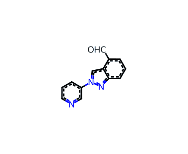 O=Cc1cccc2nn(-c3cccnc3)cc12